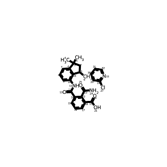 CC1CC(C)(C)c2cccc(NC(=O)c3cccc(C(=O)O)c3C(N)=O)c21.Clc1ccccn1